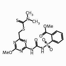 COC(=O)c1ccccc1S(=O)(=O)NC(=O)Nc1nc(CSC(=S)N(C)C)nc(OC)n1